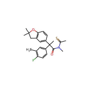 Bc1cc(C(C)(C(=O)N(C)C(C)=S)c2ccc3c(c2)CC(C)(C)O3)ccc1F